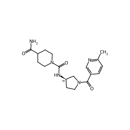 Cc1ccc(C(=O)N2CC[C@@H](NC(=O)N3CCC(C(N)=O)CC3)C2)cn1